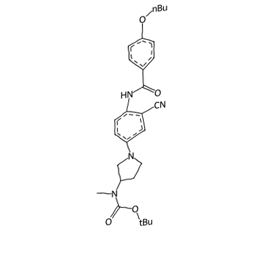 CCCCOc1ccc(C(=O)Nc2ccc(N3CCC(N(C)C(=O)OC(C)(C)C)C3)cc2C#N)cc1